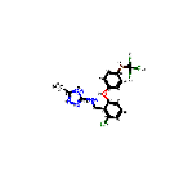 Cc1nnc(NCc2c(Cl)cccc2Oc2ccc(SC(F)(F)F)cc2)[nH]1